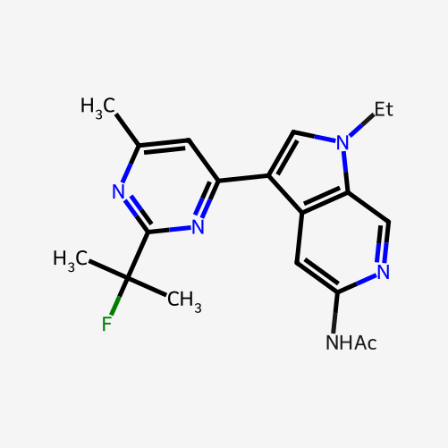 CCn1cc(-c2cc(C)nc(C(C)(C)F)n2)c2cc(NC(C)=O)ncc21